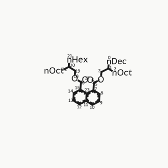 CCCCCCCCCCC(CCCCCCCC)COC(=O)c1cccc2cccc(C(=O)OCC(CCCCCC)CCCCCCCC)c12